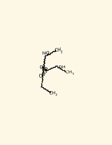 CCCCCCCC/C=C\CCCCCCCC(=O)OCC(COC(=O)CCCCCCC/C=C\C[C@H](O)CCCCCC)OC(=O)CCCCCCC/C=C\C[C@H](O)CCCCCC